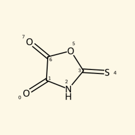 O=C1NC(=S)OC1=O